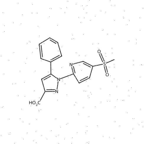 CS(=O)(=O)c1ccc(-n2nc(C(=O)O)cc2-c2ccccc2)nc1